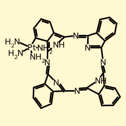 [NH2][Pt]([NH2])([NH2])([NH2])[c]1cccc2c3nc4nc(nc5[nH]c(nc6nc(nc([nH]3)c12)-c1ccccc1-6)c1ccccc51)-c1ccccc1-4